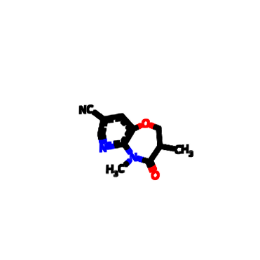 CC1COc2cc(C#N)cnc2N(C)C1=O